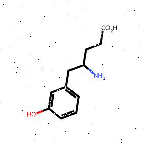 NC(CCC(=O)O)Cc1cccc(O)c1